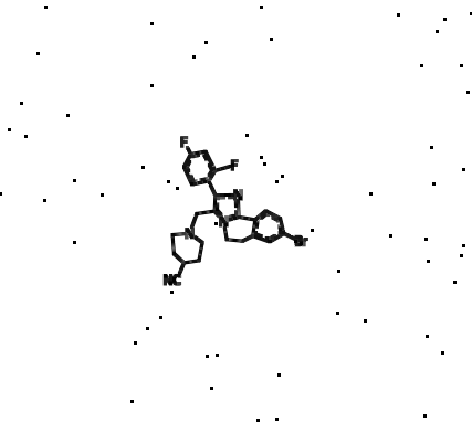 N#CC1CCN(Cc2c(-c3ccc(F)cc3F)nc3n2CCc2cc(Br)ccc2-3)CC1